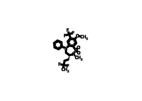 COc1cc2c(cc1C(F)(F)F)N(c1ccccc1)C[C@@H](CCC(C)(F)F)N(C)S2(=O)=O